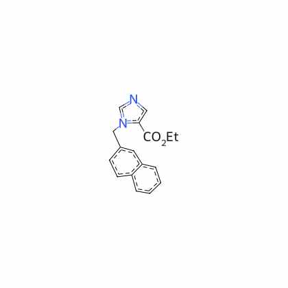 CCOC(=O)c1cncn1Cc1ccc2ccccc2c1